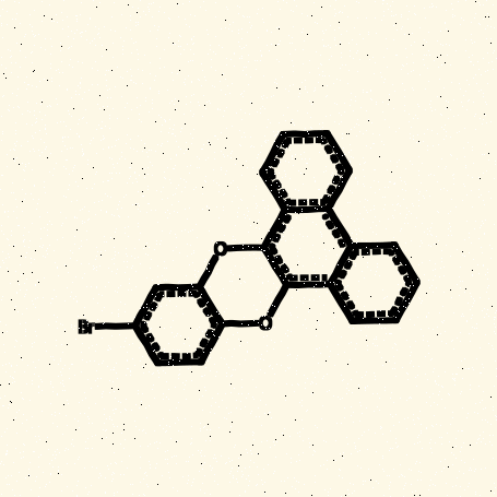 Brc1ccc2c(c1)Oc1c(c3ccccc3c3ccccc13)O2